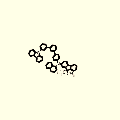 CC1(C)c2ccccc2-c2ccc(N(c3ccc(-c4cccc(-c5cccc(-n6c7ccccc7c7ccccc76)c5)c4)cc3)c3cccc4ccccc34)cc21